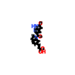 O=C(O)/C=C/c1ccc2c(c1)N(C(=O)c1cnc3c(c1)CC(=O)N3)CC2